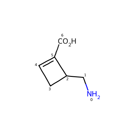 NCC1CC=C1C(=O)O